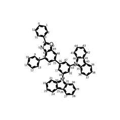 c1ccc(-c2nc3c(-c4ccccc4)cc(-c4cc(-n5c6ccccc6c6ccccc65)cc(-n5c6ccccc6c6ccccc65)c4)cc3o2)cc1